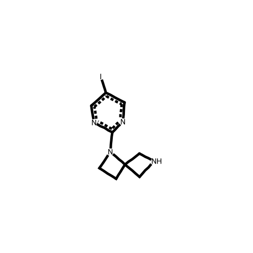 Ic1cnc(N2CCC23CNC3)nc1